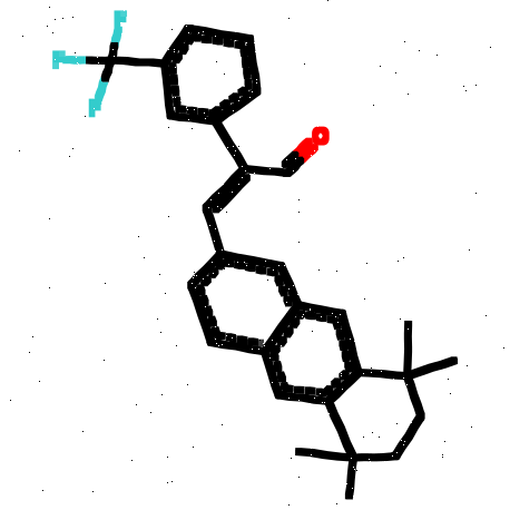 CC1(C)CCC(C)(C)c2cc3cc(C=C(C=O)c4cccc(C(F)(F)F)c4)ccc3cc21